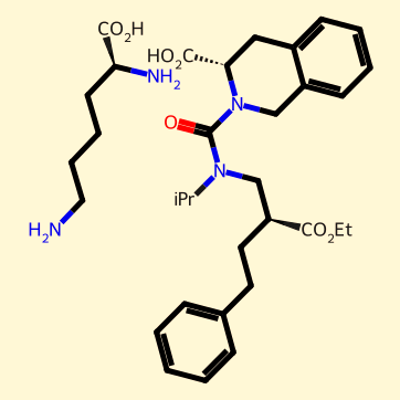 CCOC(=O)[C@@H](CCc1ccccc1)CN(C(=O)N1Cc2ccccc2C[C@H]1C(=O)O)C(C)C.NCCCC[C@H](N)C(=O)O